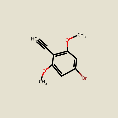 C#Cc1c(OC)cc(Br)cc1OC